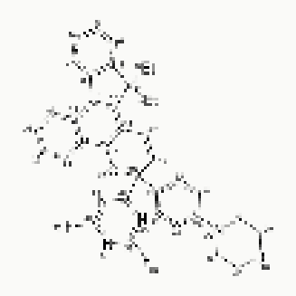 CCC1(CC)c2ccccc2-c2c1c1c(c3ccccc23)OC(c2ccc(N3CCOCC3)cc2)(c2nc(F)nc(F)n2)C=C1